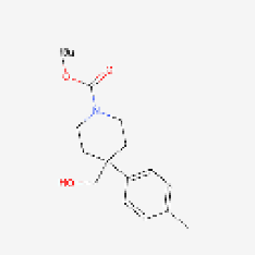 Cc1ccc(C2(CO)CCN(C(=O)OC(C)(C)C)CC2)cc1